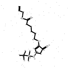 C=CCOC(=O)CCCCCSC1=C[C@H](O[Si](C)(C)C(C)(C)C)CC1=O